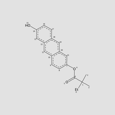 CCC(C)(C)C(=O)Oc1ccc2cc3cc(O)ccc3cc2c1